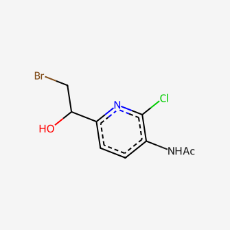 CC(=O)Nc1ccc(C(O)CBr)nc1Cl